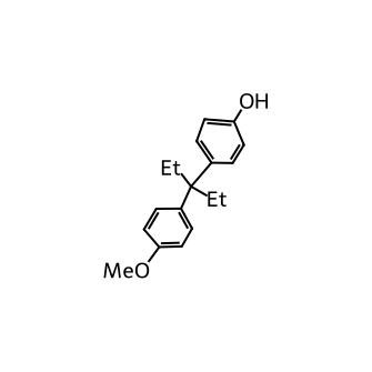 CCC(CC)(c1ccc(O)cc1)c1ccc(OC)cc1